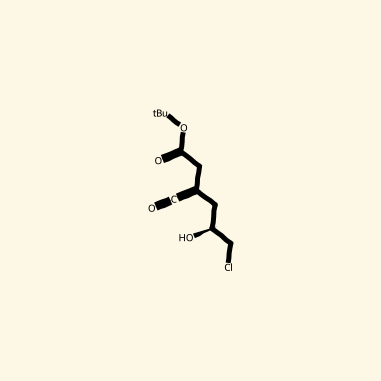 CC(C)(C)OC(=O)CC(=C=O)C[C@H](O)CCl